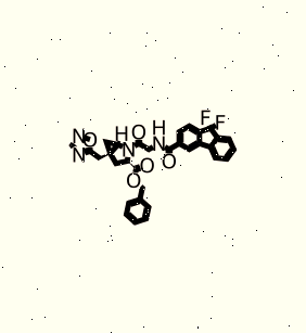 O=C(NCC(=O)N1[C@H]2C[C@@]2(Cc2ncno2)C[C@H]1C(=O)OCc1ccccc1)c1ccc2c(c1)-c1ccccc1C2(F)F